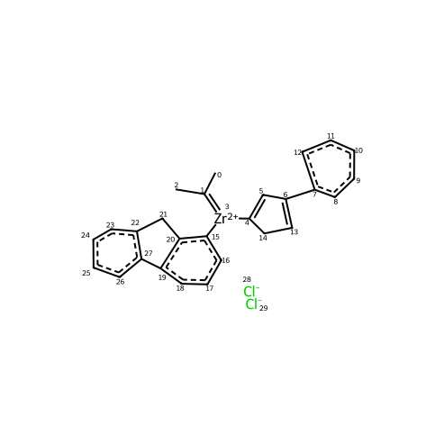 C[C](C)=[Zr+2]([C]1=CC(c2ccccc2)=CC1)[c]1cccc2c1Cc1ccccc1-2.[Cl-].[Cl-]